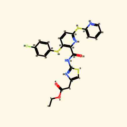 CCOC(=O)Cc1csc(NC(=O)c2nc(Sc3ccccn3)ccc2Sc2ccc(F)cc2)n1